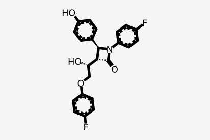 O=C1[C@H]([C@@H](O)COc2ccc(F)cc2)[C@@H](c2ccc(O)cc2)N1c1ccc(F)cc1